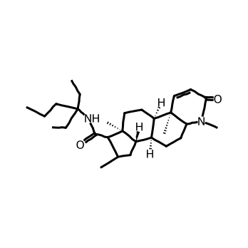 CCCC(CC)(CC)NC(=O)C1C(C)C[C@H]2[C@@H]3CCC4N(C)C(=O)C=C[C@]4(C)[C@@H]3CC[C@]12C